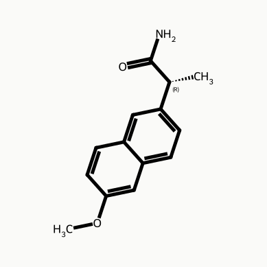 COc1ccc2cc([C@@H](C)C(N)=O)ccc2c1